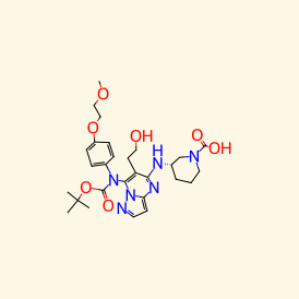 COCCOc1ccc(N(C(=O)OC(C)(C)C)c2c(CCO)c(N[C@H]3CCCN(C(=O)O)C3)nc3ccnn23)cc1